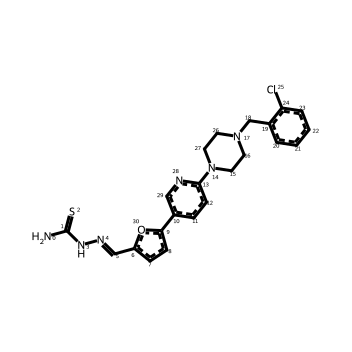 NC(=S)NN=Cc1ccc(-c2ccc(N3CCN(Cc4ccccc4Cl)CC3)nc2)o1